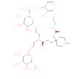 CN1CCC(CCC(=O)N(CCO[C@H]2O[C@H](CO)[C@@H](O)[C@H](O)[C@@H]2O)CCO[C@H]2O[C@H](CO)[C@@H](O)[C@H](O)[C@@H]2O)(CC(=O)NCCO[C@H]2O[C@H](CO)[C@@H](O)[C@H](O)[C@@H]2O)CC1